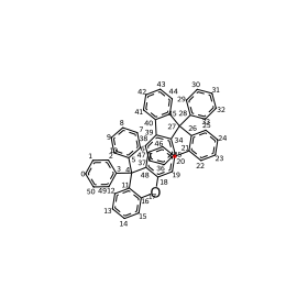 c1ccc(C2(c3ccccc3)c3ccccc3Oc3cc(-c4ccccc4C4(c5ccccc5)c5ccccc5-c5ccccc54)ccc32)cc1